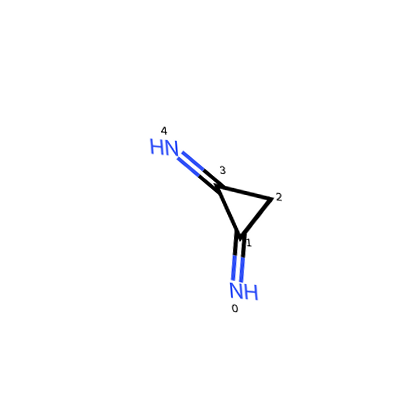 N=C1CC1=N